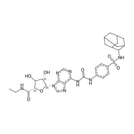 CCNC(=O)[C@H]1O[C@@H](n2cnc3c(NC(=O)Nc4ccc(S(=O)(=O)NC5C6CC7CC(C6)CC5C7)cc4)ncnc32)[C@@H](O)C1O